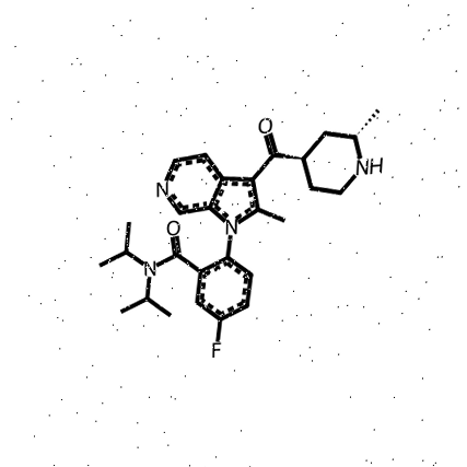 Cc1c(C(=O)[C@@H]2CCN[C@@H](C)C2)c2ccncc2n1-c1ccc(F)cc1C(=O)N(C(C)C)C(C)C